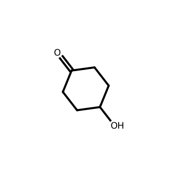 O=C1CC[C](O)CC1